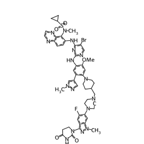 COc1cc(N2CCC(CN3CCN(c4cc5c(cc4F)c(N4CCC(=O)NC4=O)nn5C)CC3)CC2)c(-c2cnn(C)c2)cc1Nc1ncc(Br)c(Nc2ccc3nccnc3c2N(C)S(=O)(=O)C2CC2)n1